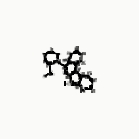 CSc1ccccc1-c1cc2[nH]c3ncccc3c2c2ccccc12